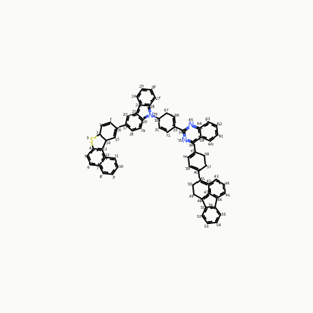 C1=CC2Sc3ccc4ccccc4c3C2C=C1c1ccc2c(c1)c1ccccc1n2C1C=CC(c2nc(C3=CC=C(C4=c5cccc6c5=C(CC4)c4ccccc4-6)CC3)c3ccccc3n2)=CC1